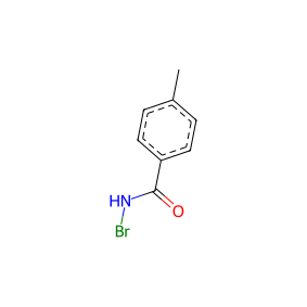 Cc1ccc(C(=O)NBr)cc1